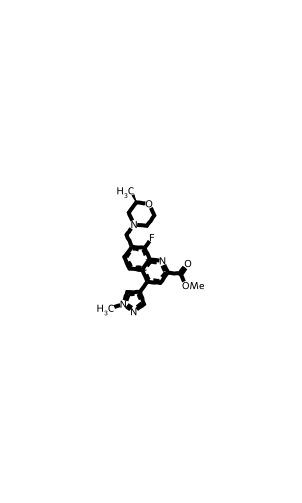 COC(=O)c1cc(-c2cnn(C)c2)c2ccc(CN3CCO[C@H](C)C3)c(F)c2n1